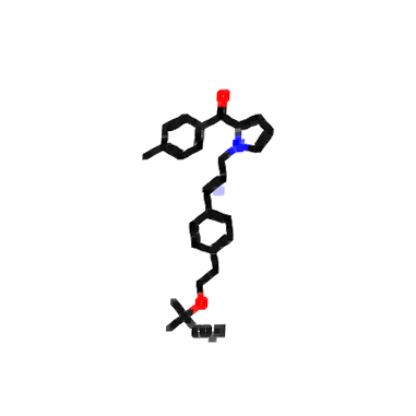 Cc1ccc(C(=O)c2cccn2C/C=C/c2ccc(CCOC(C)(C)C(=O)O)cc2)cc1